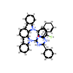 Fc1ccc(-n2c3ccccc3c3ccc4c5ccccc5n(-c5nc(C6=CCCC=C6)nc(-c6ccccc6)n5)c4c32)cc1